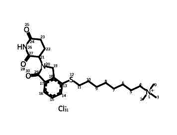 C[N+](C)(C)CCCCCCCCSc1cccc2c1CN(C1CCC(=O)NC1=O)C2=O.[Cl-]